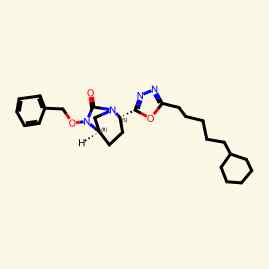 O=C1N2C[C@@H](CC[C@H]2c2nnc(CCCCCC3CCCCC3)o2)N1OCc1ccccc1